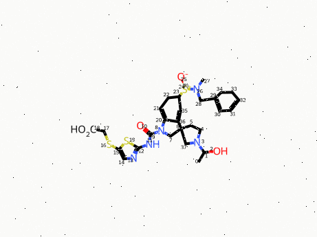 CC(O)N1CCC2(CN(C(=O)Nc3ncc(SCC(=O)O)s3)C3=CCC([S@+]([O-])N(C)CC4=CC=CCC4)C=C32)C1